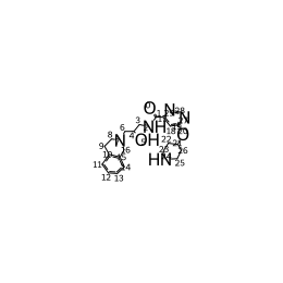 O=C(NCC(O)CN1CCc2ccccc2C1)c1cc(OC2CCNCC2)ncn1